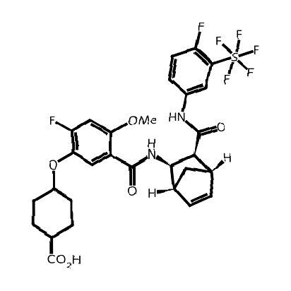 COc1cc(F)c(OC2CCC(C(=O)O)CC2)cc1C(=O)N[C@H]1[C@@H](C(=O)Nc2ccc(F)c(S(F)(F)(F)(F)F)c2)[C@@H]2C=C[C@H]1C2